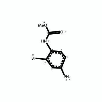 COC(=O)Nc1ccc(P)cc1Br